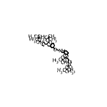 CC(C)(C)OC(=O)[C@@H](Cc1cccc(CNCCOc2cccc(C[C@H](C(=O)OC(C)(C)C)[C@@H]3CCN(C(=O)OC(C)(C)C)C3)c2)c1)[C@@H]1CCN(C(=O)OC(C)(C)C)C1